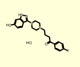 Cl.O=C(CCCN1CCN(c2n[nH]c3cc(O)ccc23)CC1)c1ccc(F)cc1